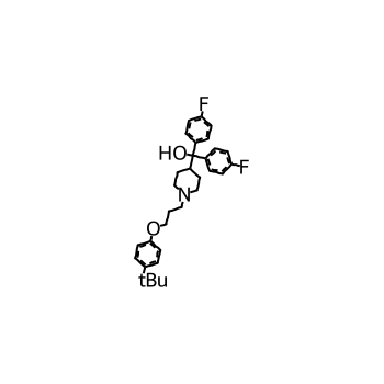 CC(C)(C)c1ccc(OCCCN2CCC(C(O)(c3ccc(F)cc3)c3ccc(F)cc3)CC2)cc1